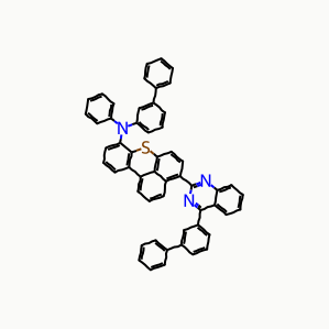 c1ccc(-c2cccc(-c3nc(-c4ccc5c6c(cccc46)-c4cccc(N(c6ccccc6)c6cccc(-c7ccccc7)c6)c4S5)nc4ccccc34)c2)cc1